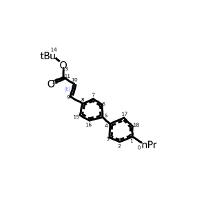 CCCc1ccc(-c2ccc(/C=C/C(=O)OC(C)(C)C)cc2)cc1